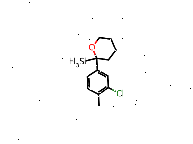 Cc1ccc(C2([SiH3])CCCCO2)cc1Cl